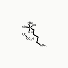 CC(=O)O.CCCCCCCCCCCCCCP(CCCC)(CCCC)(CCCC)CCCC